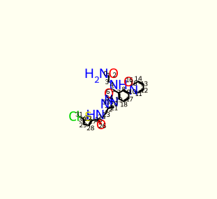 NC(=O)CNC(=O)c1cc(-n2ccccc2=O)ccc1-n1cc(CNC(=O)c2ccc(Cl)s2)nn1